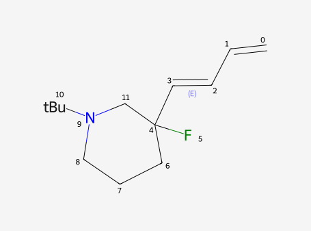 C=C/C=C/C1(F)CCCN(C(C)(C)C)C1